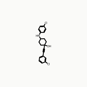 OC1(C#Cc2cccc(Cl)c2)CCC(Nc2ccc(Cl)cc2)CC1